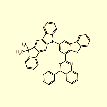 CC1(C)c2ccccc2-c2cc3c(cc21)c1ccccc1n3-c1cc(-c2nc(-c3ccccc3)c3ccccc3n2)c2sc3ccccc3c2c1